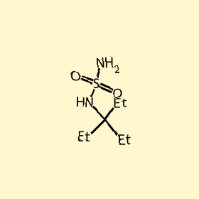 CCC(CC)(CC)NS(N)(=O)=O